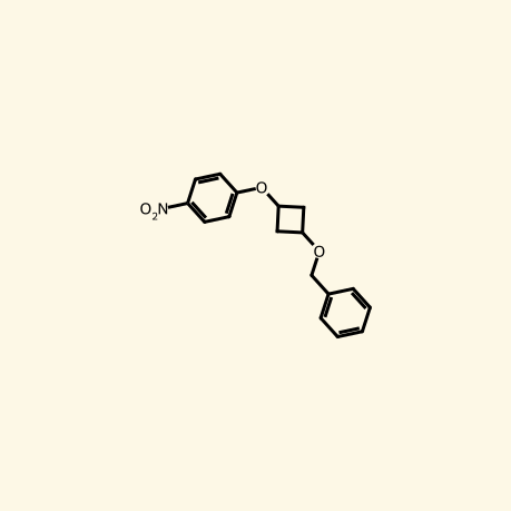 O=[N+]([O-])c1ccc(OC2CC(OCc3ccccc3)C2)cc1